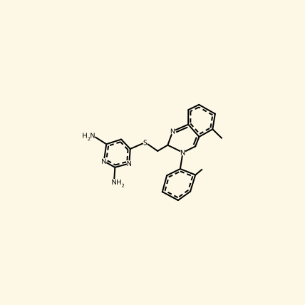 Cc1ccccc1N1C=c2c(C)cccc2=NC1CSc1cc(N)nc(N)n1